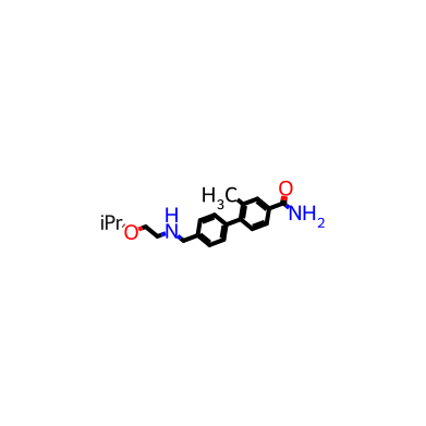 Cc1cc(C(N)=O)ccc1-c1ccc(CNCCOC(C)C)cc1